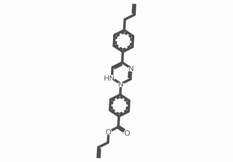 C=CCOC(=O)c1ccc(N2C=NC(c3ccc(CC=C)cc3)=CN2)cc1